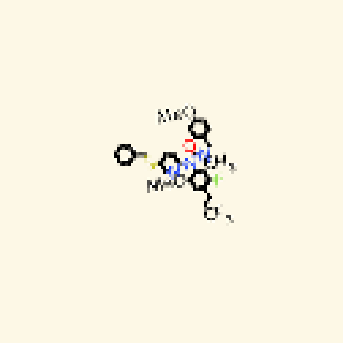 COc1ccc(CN(C)C(=O)N(c2ccc(SCc3ccccc3)cn2)c2cc(F)c(CCC(F)(F)F)cc2OC)cc1